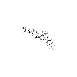 CC(C)(C)c1ccc(C2=CCC(C)(C)c3cc([Se]c4cccc(/C=C/C(=O)O)c4)ccc32)cc1